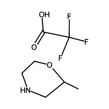 CC1CNCCO1.O=C(O)C(F)(F)F